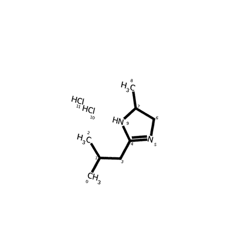 CC(C)CC1=NCC(C)N1.Cl.Cl